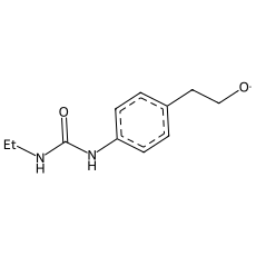 CCNC(=O)Nc1ccc(CC[O])cc1